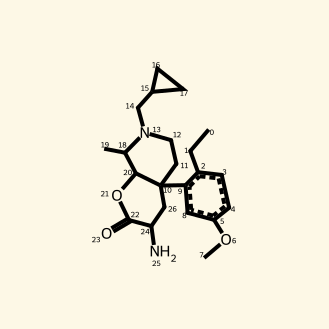 CCc1ccc(OC)cc1C12CCN(CC3CC3)C(C)C1OC(=O)C(N)C2